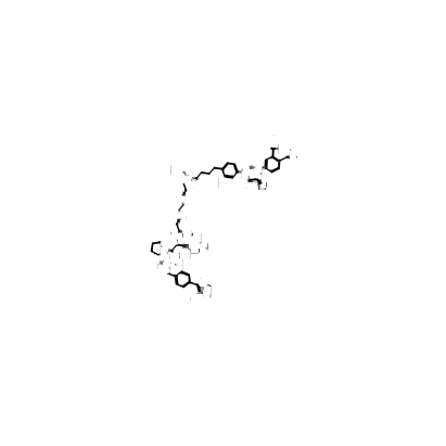 Cc1ncsc1-c1ccc(CNC(=O)[C@@H]2CCCN2C(=O)C(NC(=O)COCCOCCN(C)C(=O)CCCc2ccc(N3C(=S)N(c4ccc(C#N)c(C(F)(F)F)c4)C(=O)C3(C)C)cc2)C(C)(C)C)cc1